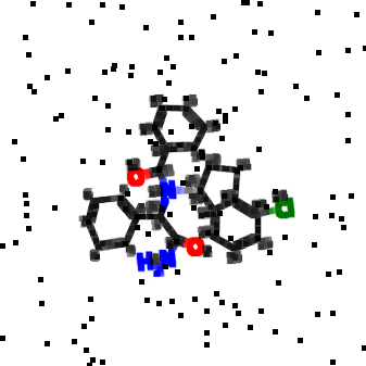 NC(=O)[C@@H](c1ccccc1)N(C(=O)c1ccccc1)[C@@H]1CCc2c(Cl)cccc21